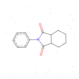 O=C1C2CCCCC2C(=O)N1c1ccccc1